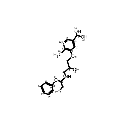 COCC(NCC(O)COc1cc(C(O)O)cnc1C)Oc1ccccc1